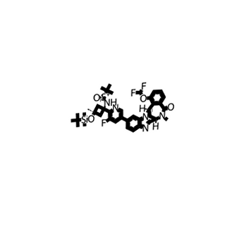 CN1C(=O)c2cccc(OC(F)F)c2[C@H]2C[C@@H]1c1nc3ccc(-c4cnc([C@]5(N[S@@+]([O-])C(C)(C)C)C[C@@](C)(O[Si](C)(C)C(C)(C)C)C5)c(F)c4)cc3n12